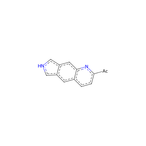 CC(=O)c1ccc2cc3c[nH]cc3cc2n1